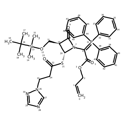 C=CCOC(=O)C(N1C(=O)[C@H](CO[Si](C)(C)C(C)(C)C)[C@H]1SC(=O)CCn1cncn1)=P(c1ccccc1)(c1ccccc1)c1ccccc1